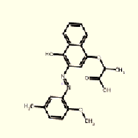 COc1ccc(C)cc1/N=N/c1cc(OC(C)C(=O)O)c2ccccc2c1O